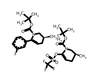 C[C@H]1CC=C(OS(=O)(=O)C(F)(F)F)N(C(=O)OC(C)(C)C)C1.C[C@H]1CC=C(c2cccc(F)c2)N(C(=O)OC(C)(C)C)C1